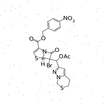 CC(=O)OC(c1cc2n(n1)CSCC2)C1(Br)C(=O)N2C(C(=O)OCc3ccc([N+](=O)[O-])cc3)=CS[C@@H]21